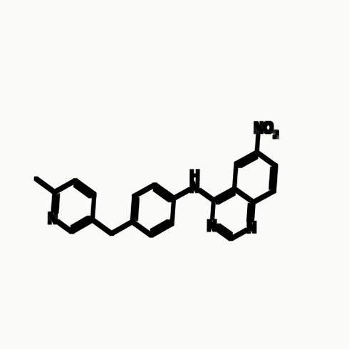 Cc1ccc(Cc2ccc(Nc3ncnc4ccc([N+](=O)[O-])cc34)cc2)cn1